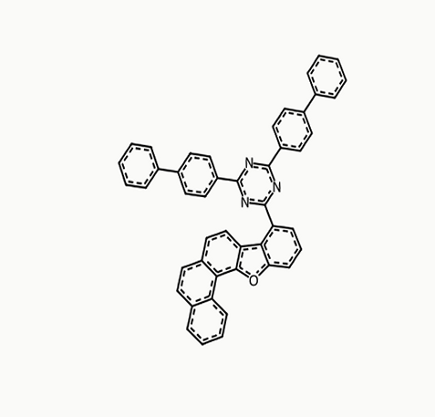 c1ccc(-c2ccc(-c3nc(-c4ccc(-c5ccccc5)cc4)nc(-c4cccc5oc6c(ccc7ccc8ccccc8c76)c45)n3)cc2)cc1